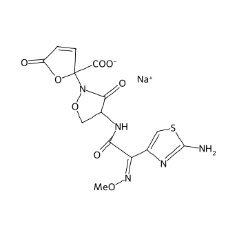 CO/N=C(\C(=O)NC1CON(C2(C(=O)[O-])C=CC(=O)O2)C1=O)c1csc(N)n1.[Na+]